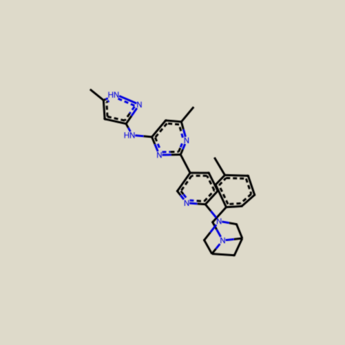 Cc1cccc(CN2C3CC2CN(c2ccc(-c4nc(C)cc(Nc5cc(C)[nH]n5)n4)cn2)C3)c1